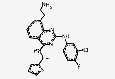 C[C@@H](Nc1nc(Nc2ccc(F)c(Cl)c2)nc2c(CCN)cccc12)c1cccs1